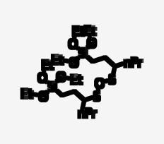 CCCC(CC[Si](OCC)(OCC)OCC)SOSC(CCC)CC[Si](OCC)(OCC)OCC